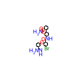 N=C(N)c1cccc(Oc2cc(Br)ccc2C(=O)Nc2ccc(-c3ccccc3S(N)(=O)=O)cc2)c1